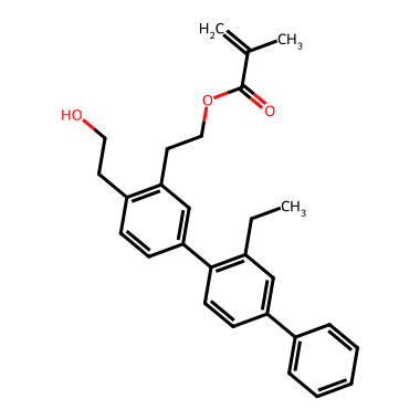 C=C(C)C(=O)OCCc1cc(-c2ccc(-c3ccccc3)cc2CC)ccc1CCO